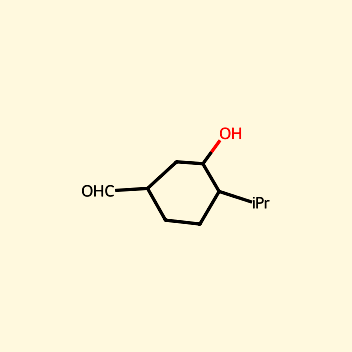 CC(C)C1CCC(C=O)CC1O